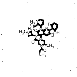 C=CC(=O)N1CC2C(=O)N(C3CN(C)C3)c3c(c4cc(Cl)c(-c5c(O)cccc5F)nc4n(-c4cccnc4C(C)C)c3=O)N2CC1C